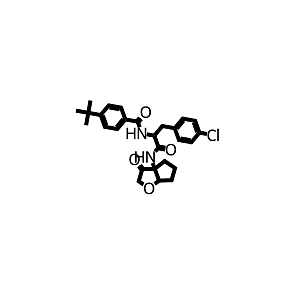 CC(C)(C)c1ccc(C(=O)NC(Cc2ccc(Cl)cc2)C(=O)NC23CCCC2OCC3=O)cc1